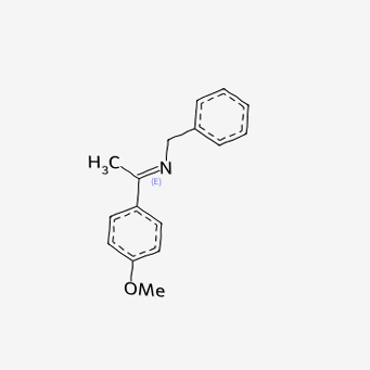 COc1ccc(/C(C)=N/Cc2ccccc2)cc1